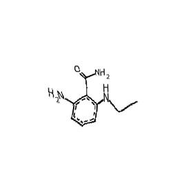 CCNc1cccc(N)c1C(N)=O